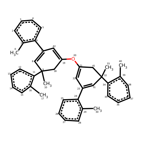 Cc1ccccc1C1=CC(C)(c2ccccc2C)CC(OC2=CC(c3ccccc3C)=CC(C)(c3ccccc3C)C2)=C1